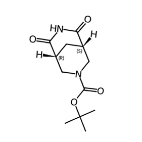 CC(C)(C)OC(=O)N1C[C@H]2C[C@@H](C1)C(=O)NC2=O